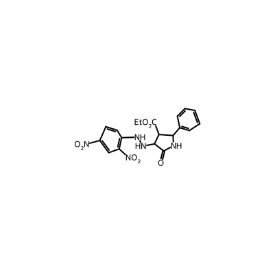 CCOC(=O)C1C(NNc2ccc([N+](=O)[O-])cc2[N+](=O)[O-])C(=O)NC1c1ccccc1